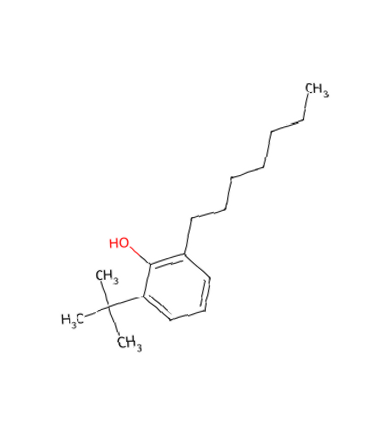 CCCCCCCc1cccc(C(C)(C)C)c1O